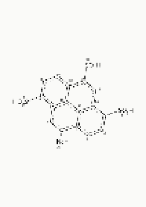 O=S(=O)(O)c1ccc2ccc3c(S(=O)(=O)O)ccc4c(S(=O)(=O)O)cc1c2c34.[NaH]